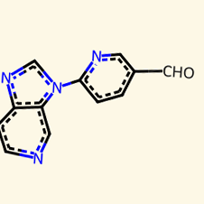 O=Cc1ccc(-n2cnc3ccncc32)nc1